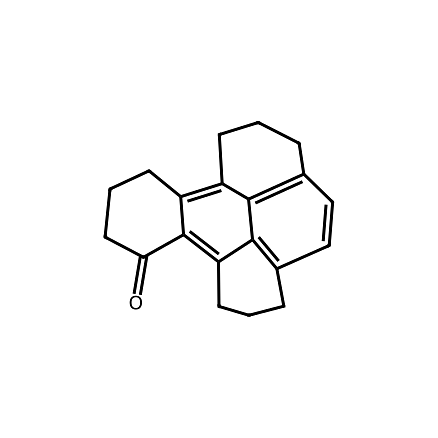 O=C1CCCc2c1c1c3c(ccc4c3c2CCC4)CCC1